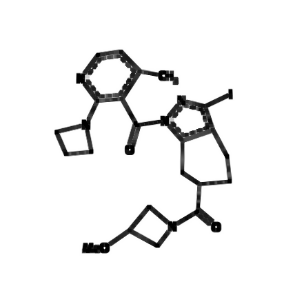 COC1CN(C(=O)C2CCc3c(I)nn(C(=O)c4c(C)ccnc4N4CCC4)c3C2)C1